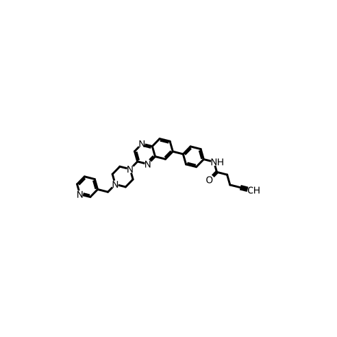 C#CCCC(=O)Nc1ccc(-c2ccc3ncc(N4CCN(Cc5cccnc5)CC4)nc3c2)cc1